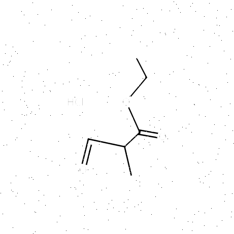 CCOC(=O)C(C)C=O.Cl